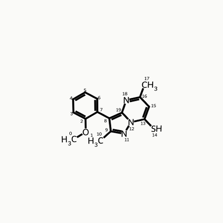 COc1ccccc1-c1c(C)nn2c(S)cc(C)nc12